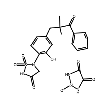 CC(C)(Cc1ccc(N2CC(=O)NS2(=O)=O)c(O)c1)C(=O)c1ccccc1.O=c1[nH][s+]([O-])[nH]c1=O